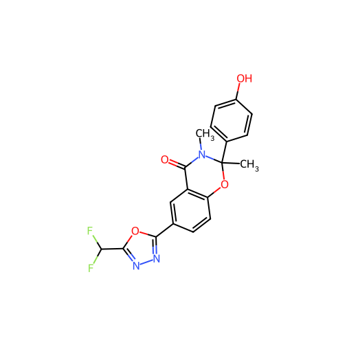 CN1C(=O)c2cc(-c3nnc(C(F)F)o3)ccc2OC1(C)c1ccc(O)cc1